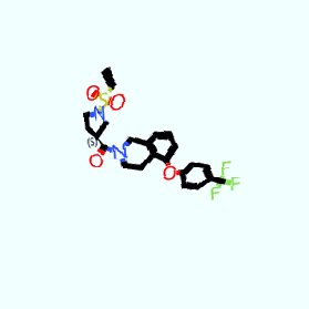 C=CS(=O)(=O)N1CC[C@H](C(=O)N2CCc3c(cccc3Oc3ccc(C(F)(F)F)cc3)C2)C1